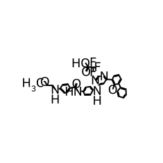 COCCNc1ccc(C(=O)Nc2ccc(Nc3cc(-c4cccc5c4oc4ccccc45)ncn3)cc2)cc1.O=C(O)C(F)(F)F